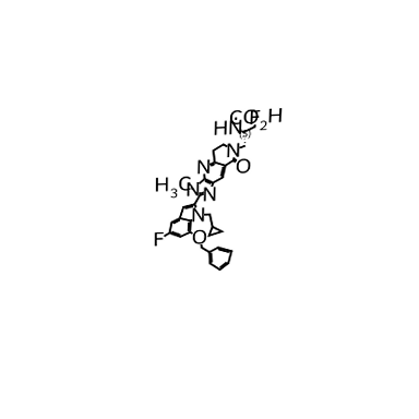 Cn1c(-c2cc3cc(F)cc(OCc4ccccc4)c3n2CC2CC2)nc2cc3c(nc21)CCN(C[C@@H](CF)NC(=O)O)C3=O